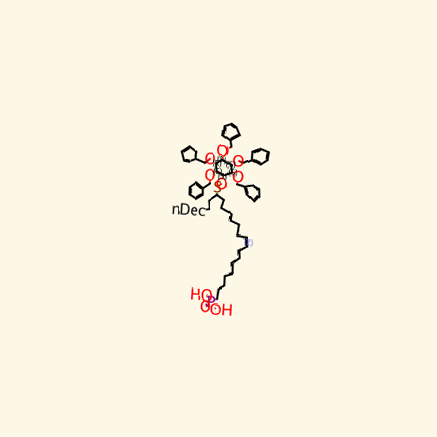 CCCCCCCCCCCCC(CCCCCC/C=C\CCCCCCCCP(=O)(O)O)SO[C@@H]1[C@@H](OCc2ccccc2)[C@H](OCc2ccccc2)[C@@H](OCc2ccccc2)[C@H](OCc2ccccc2)[C@@H]1OCc1ccccc1